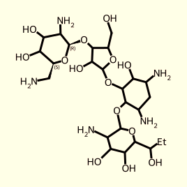 CCC(O)C1OC(OC2C(N)CC(N)C(O)C2OC2OC(CO)C(O[C@H]3O[C@@H](CN)C(O)C(O)C3N)C2O)C(N)C(O)C1O